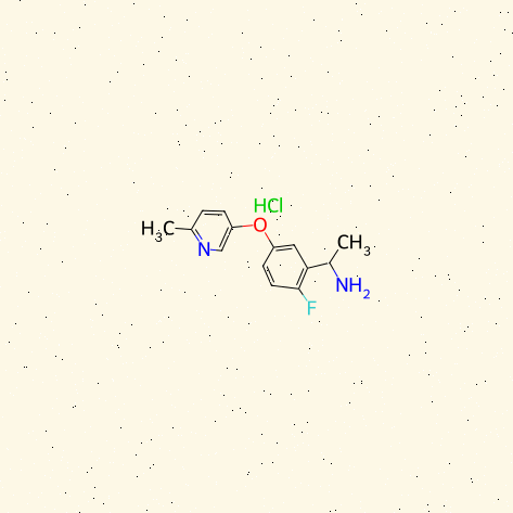 Cc1ccc(Oc2ccc(F)c(C(C)N)c2)cn1.Cl